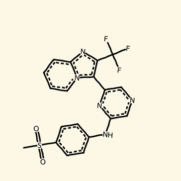 CS(=O)(=O)c1ccc(Nc2cncc(-c3c(C(F)(F)F)nc4ccccn34)n2)cc1